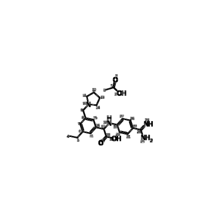 CC(=O)O.CCc1cc(CN2CCCC2)cc(C(Nc2ccc(C(=N)N)cc2)C(=O)O)c1